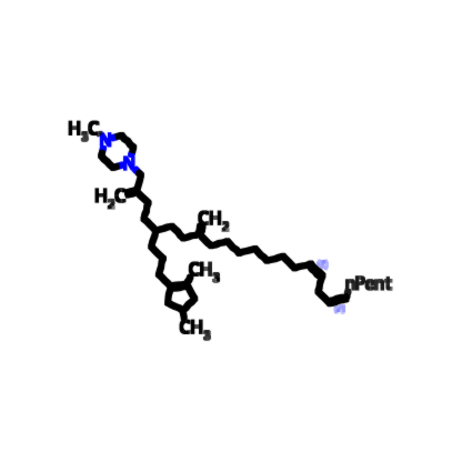 C=C(CCCCCCC/C=C\C/C=C\CCCCC)CCC(CCCC1=C(C)CC(C)C1)CCC(=C)CN1CCN(C)CC1